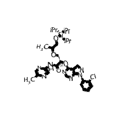 Cc1cnc(NC(=O)[C@H](COC(C)CO[Si](C(C)C)(C(C)C)C(C)C)Oc2ncnc3c2cnn3-c2ccccc2Cl)cn1